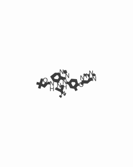 Cc1cc(Nc2ncnc3ccc(NC4=CC(C)(C)CO4)c(N4CC(N(C)C)C4)c23)ccc1Oc1cc2ncnn2cn1